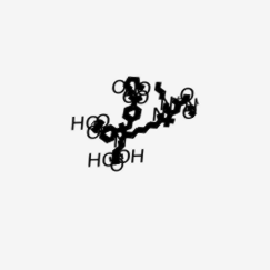 CCCC[n+]1cc(C(=O)N(C)OC)cc2c1N=C(/C=C/C=C/C=C1/N(CCP(=O)(O)O)c3ccc(S(=O)(=O)O)cc3C1(C)Cc1ccc(C(=O)ON3C(=O)CCC3=O)cc1)C2(C)C